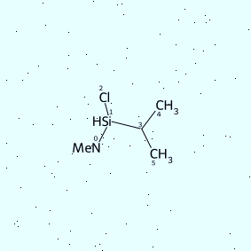 CN[SiH](Cl)C(C)C